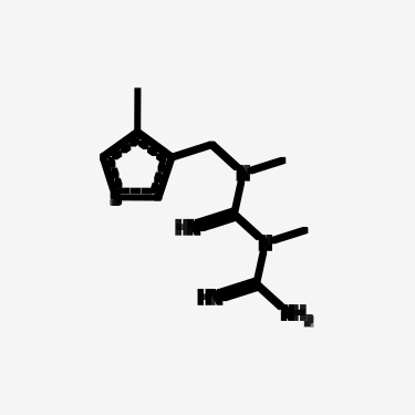 Cc1cscc1CN(C)C(=N)N(C)C(=N)N